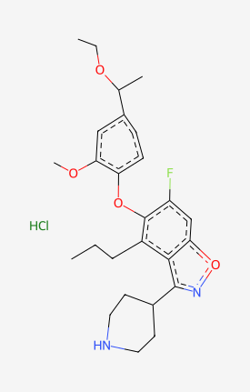 CCCc1c(Oc2ccc(C(C)OCC)cc2OC)c(F)cc2onc(C3CCNCC3)c12.Cl